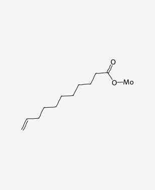 C=CCCCCCCCCC(=O)[O][Mo]